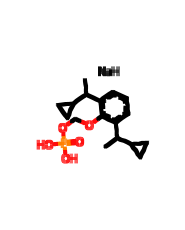 CC(c1cccc(C(C)C2CC2)c1OCOP(=O)(O)O)C1CC1.[NaH]